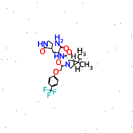 CC1(C)[C@@H]2[C@@H](C(=O)N[C@@H](C[C@@H]3CCNC3=O)C(N)=O)N(C(=O)COc3ccc(C(F)(F)F)cc3)C[C@@H]21